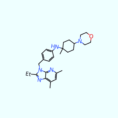 CCc1nc2c(C)cc(C)nc2n1Cc1ccc(NC2(C)CCC(N3CCOCC3)CC2)cc1